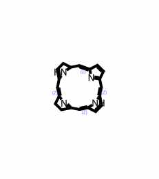 C1=C/C2=C/C3CC=C(/C=C4/CCC(=N4)/C=c4/cc/c([nH]4)=C/C1=N2)N3